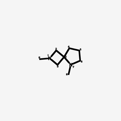 CN1CC2(CCCN2C)C1